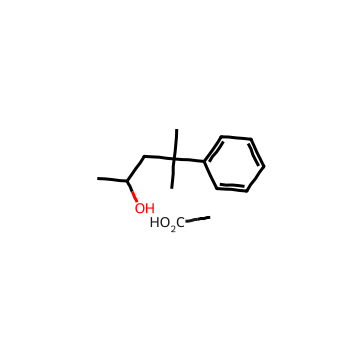 CC(=O)O.CC(O)CC(C)(C)c1ccccc1